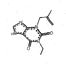 C=C(C)Cn1c(=O)n(CC)c(=O)c2[nH]cnc21